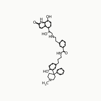 CN1CCC(c2ccccc2)(c2cc(CCCNC(=O)c3cccc(CCNC[C@H](O)c4ccc(O)c5[nH]c(=O)ccc45)c3)ccc2O)CC1